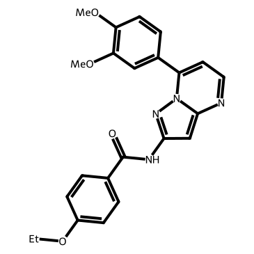 CCOc1ccc(C(=O)Nc2cc3nccc(-c4ccc(OC)c(OC)c4)n3n2)cc1